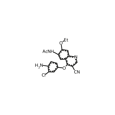 CCOc1cc2ncc(C#N)c(Oc3ccc(N)c(Cl)c3)c2cc1NC(C)=O